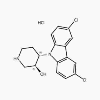 Cl.O[C@H]1CNCC[C@@H]1n1c2ccc(Cl)cc2c2cc(Cl)ccc21